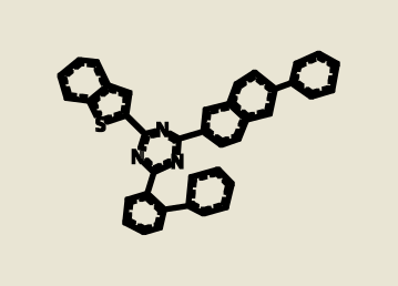 c1ccc(-c2ccc3cc(-c4nc(-c5cc6ccccc6s5)nc(-c5ccccc5-c5ccccc5)n4)ccc3c2)cc1